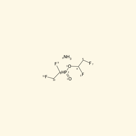 N.O=[PH](OC(F)CF)C(F)CF